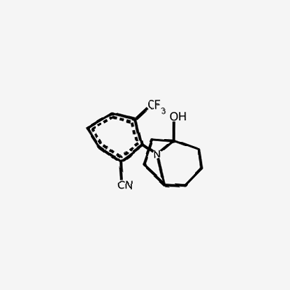 N#Cc1cccc(C(F)(F)F)c1N1C2CCCC1(O)CC2